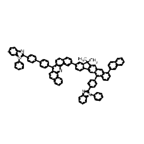 CC1(C)c2cc(-c3ccc4ccc5c(-c6ccc(-c7ccc(-c8nc9ccccc9n8-c8ccccc8)cc7)cc6)c6ccc7ccccc7c6nc5c4c3)ccc2-c2cc3c(-c4ccc(-c5nc6ccccc6n5-c5ccccc5)cc4)c4cccc(-c5ccc6ccccc6c5)c4cc3cc21